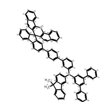 CC1(C)c2ccccc2-c2cc(N(c3cccc(-c4ccc(-c5ccc6c(c5)C5(c7ccccc7-6)c6ccc7ccccc7c6Oc6c5ccc5ccccc65)cc4)c3)c3cc(-c4ccccc4)cc(-c4ccccc4)c3)ccc21